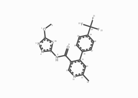 COc1nnc(NC(=O)c2cnc(C)cc2-c2ccc(C(F)(F)F)cc2)s1